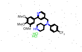 COc1cc(-c2cc(CN(c3ccc(C(F)(F)F)cc3)C3CCNCC3)ccn2)cc(OC)c1OC.Cl.Cl